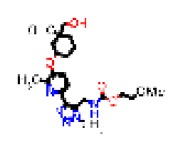 COCCOC(=O)NCc1c(-c2ccc(O[C@H]3CCCC(C=O)(CO)C3)c(C)n2)nnn1C